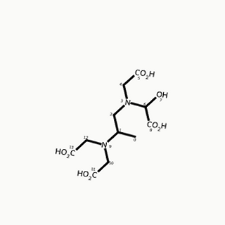 CC(CN(CC(=O)O)C(O)C(=O)O)N(CC(=O)O)CC(=O)O